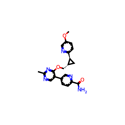 COc1ccc([C@H]2C[C@@H]2COc2nc(C)ncc2-c2ccc(C(N)=O)nc2)nc1